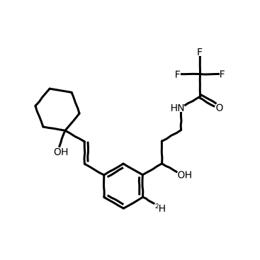 [2H]c1ccc(/C=C/C2(O)CCCCC2)cc1C(O)CCNC(=O)C(F)(F)F